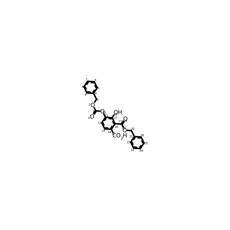 O=C(OCc1ccccc1)Oc1ccc(C(=O)O)c(C(=O)OCc2ccccc2)c1O